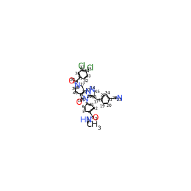 CNC(=O)c1ccc(-n2c(=O)c3c(n4ncc(Cc5ccc(C#N)cc5)c24)CN(C(=O)c2ccc(Cl)c(Cl)c2)CC3)cc1